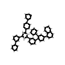 c1ccc(-c2ccc(-c3nc(-c4cccc(-c5ccccc5)c4)nc(-c4cccc(-c5ccc(-c6cccc7ccccc67)cc5-c5ccccc5)c4)n3)cc2)cc1